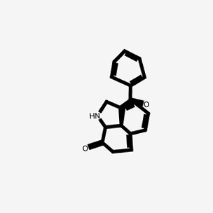 O=C(c1ccccc1)C1CNC2C(=O)CC=C3C=CC=CC312